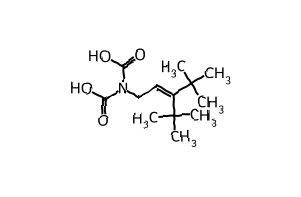 CC(C)(C)C(=CCN(C(=O)O)C(=O)O)C(C)(C)C